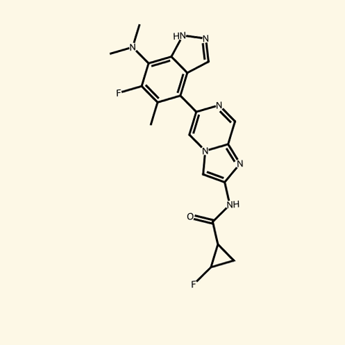 Cc1c(F)c(N(C)C)c2[nH]ncc2c1-c1cn2cc(NC(=O)C3CC3F)nc2cn1